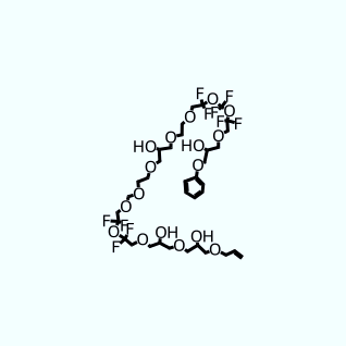 C=CCOCC(O)COCC(O)COCC(F)(F)OC(F)(F)COCOCCOCC(O)COCCOCC(F)(F)OC(F)(F)OC(F)(F)COCC(O)COc1ccccc1